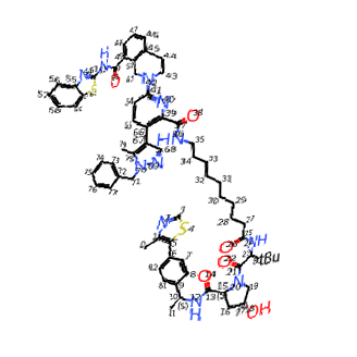 Cc1ncsc1-c1ccc([C@H](C)NC(=O)[C@@H]2C[C@@H](O)CN2C(=O)C(NC(=O)CCCCCCCCCNC(=O)c2nc(N3CCc4cccc(C(=O)Nc5nc6ccccc6s5)c4C3)ccc2-c2cnn(Cc3ccccc3)c2C)C(C)(C)C)cc1